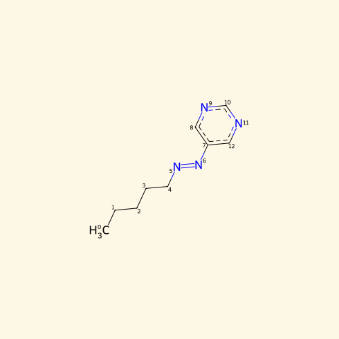 CCCCCN=Nc1cncnc1